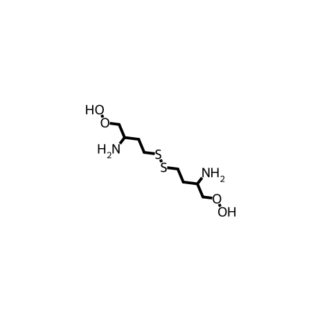 NC(CCSSCCC(N)COO)COO